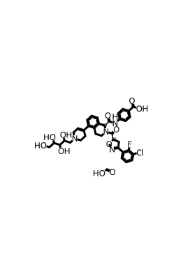 O=C(O)c1ccc(NC(=O)[C@@H]2c3cccc(C4=CCN(CC(O)C(O)C(O)CO)CC4)c3CCN2C(=O)[C@H]2CC(c3cccc(Cl)c3F)=NO2)cc1.O=CO